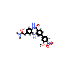 COc1cc(-c2ccc3c(c2)Nc2cc(CC(=O)N(C)C)ccc2NC3=O)ccc1[N+](=O)[O-]